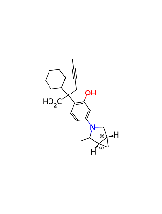 CC#CCC(C(=O)O)(c1ccc(N2C[C@@H]3C[C@@H]3C2C)cc1O)C1CCCCC1